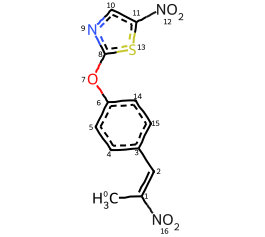 CC(=Cc1ccc(Oc2ncc([N+](=O)[O-])s2)cc1)[N+](=O)[O-]